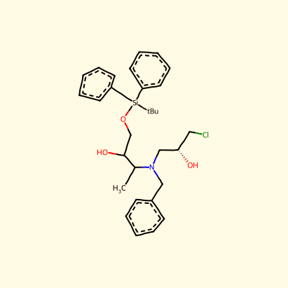 CC(C(O)CO[Si](c1ccccc1)(c1ccccc1)C(C)(C)C)N(Cc1ccccc1)C[C@@H](O)CCl